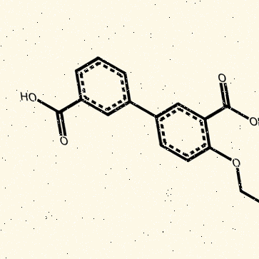 CCCOc1ccc(-c2cccc(C(=O)O)c2)cc1C(=O)O